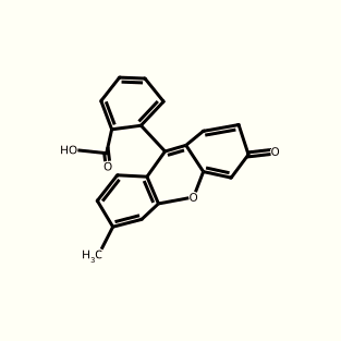 Cc1ccc2c(-c3ccccc3C(=O)O)c3ccc(=O)cc-3oc2c1